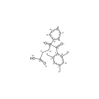 Cc1cc(C)c(C(=O)P(=O)(CCC(=O)O)c2ccccc2)c(C)c1